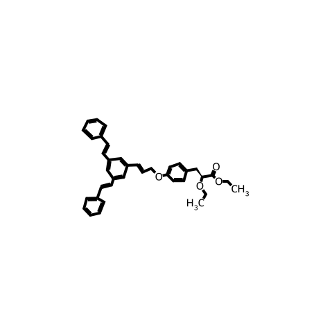 CCOC(=O)[C@H](Cc1ccc(OC/C=C/c2cc(C=Cc3ccccc3)cc(C=Cc3ccccc3)c2)cc1)OCC